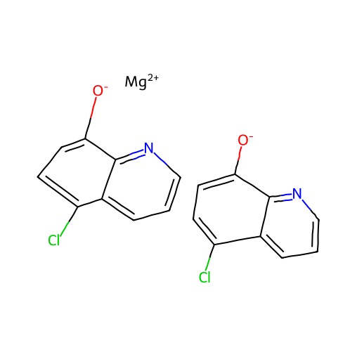 [Mg+2].[O-]c1ccc(Cl)c2cccnc12.[O-]c1ccc(Cl)c2cccnc12